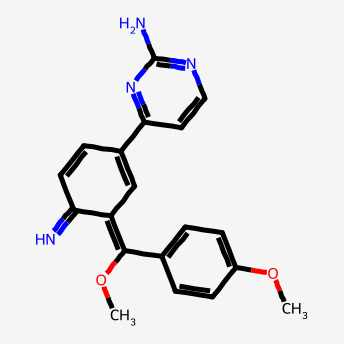 CO/C(=C1/C=C(c2ccnc(N)n2)C=CC1=N)c1ccc(OC)cc1